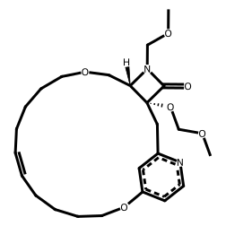 COCO[C@]12Cc3cc(ccn3)OCCCCC=CCCCCOC[C@@H]1N(COC)C2=O